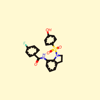 O=C(Nc1cccc2c1N(S(=O)(=O)c1ccc(O)cc1)CC2)c1ccc(F)cc1